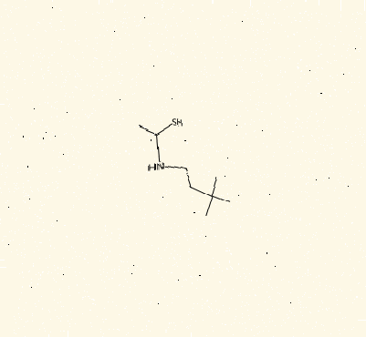 CC(S)NCCC(C)(C)C